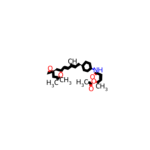 CC(=O)O[C@@H](C)/C=C\C(=O)N[C@H]1CC[C@@H](C/C=C(C)/C=C/C2C[C@]3(CO3)CC(C)(C)O2)CC1